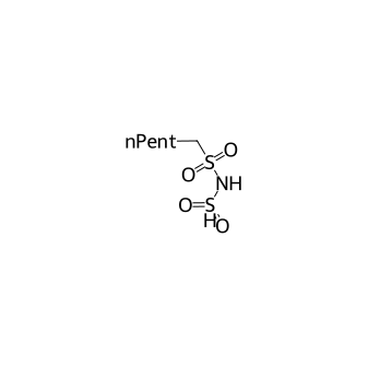 CCCCCCS(=O)(=O)N[SH](=O)=O